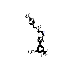 Cc1cc(-c2ncn(/C=C\C(=O)NCc3cnc(C)nc3)n2)cc(C(F)(F)F)c1